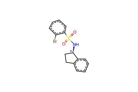 O=S(=O)(N[C@@H]1CCc2ccccc21)c1ccccc1Br